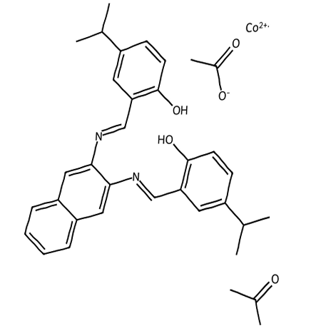 CC(=O)[O-].CC(=O)[O-].CC(C)c1ccc(O)c(C=Nc2cc3ccccc3cc2N=Cc2cc(C(C)C)ccc2O)c1.[Co+2]